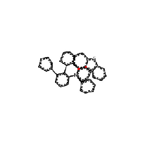 c1ccc(-c2ccccc2-c2c(-c3ccccc3)cccc2N(c2ccccc2)c2cccc3sc4ccccc4c23)cc1